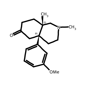 COc1cccc([C@]23CCN(C)C[C@@]2(C)CCC(=O)C3)c1